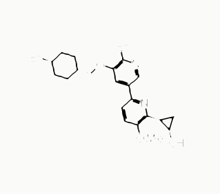 CCc1ncc(-c2ccc(OC)c([C@H]3C[C@H]3C)n2)cc1OC[C@H]1CC[C@H](CC)CC1